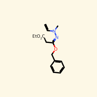 C=CN(C)/N=C(\CC(=O)OCC)OCc1ccccc1